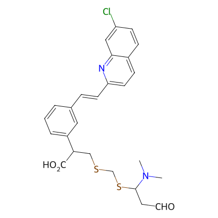 CN(C)C(CC=O)SCSCC(C(=O)O)c1cccc(C=Cc2ccc3ccc(Cl)cc3n2)c1